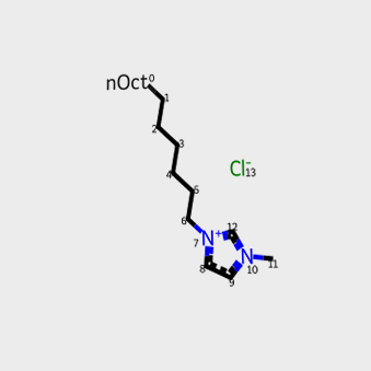 CCCCCCCCCCCCCC[n+]1ccn(C)c1.[Cl-]